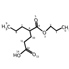 CCCOC(=O)C(CCC)CCC(=O)O